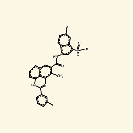 Cc1c(C(=O)Nn2cc(S(=O)(=O)O)c3cc(F)ccc32)cc2cccc3c2c1N=C(c1cccc(F)c1)N3